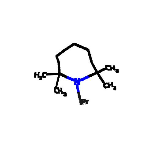 CC(C)N1C(C)(C)CCCC1(C)C